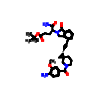 COc1cc(C(=O)N2CCC[C@]3(C[C@@H]3C#Cc3cccc4c3CN([C@@H](CCC(=O)OC(C)(C)C)C(N)=O)C4=O)C2)ccc1N